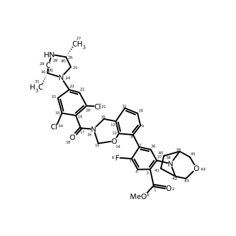 COC(=O)c1cc(F)c(-c2cccc3c2OCN(C(=O)c2c(Cl)cc(N4C[C@@H](C)NC[C@H]4C)cc2Cl)C3)cc1N1C2CCC1COC2